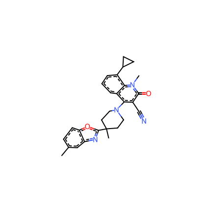 Cc1ccc2oc(C3(C)CCN(c4c(C#N)c(=O)n(C)c5c(C6CC6)cccc45)CC3)nc2c1